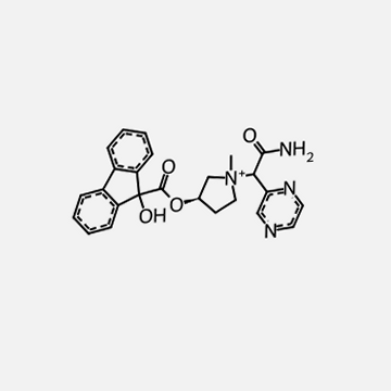 C[N+]1(C(C(N)=O)c2cnccn2)CC[C@@H](OC(=O)C2(O)c3ccccc3-c3ccccc32)C1